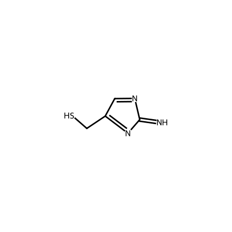 N=C1N=CC(CS)=N1